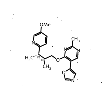 COc1ccc([C@@H](C)[C@H](C)COc2nc(C)ncc2-c2cnco2)nc1